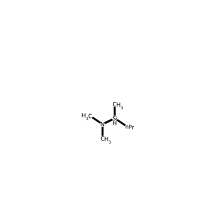 CCC[SiH](C)N(C)C